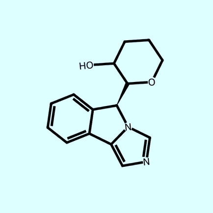 OC1CCCOC1[C@@H]1c2ccccc2-c2cncn21